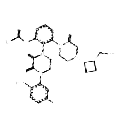 CCC(=O)Oc1cccc(N2CCN([C@H]3CC[C@@H]3CO)CC2=O)c1N1CCN(c2cc(Cl)ccc2N)C(=O)C1=O